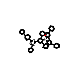 c1ccc(-c2ccc(-c3nc(-c4ccccc4)nc(-c4cc(-c5ccccc5)c(-n5c6ccc(-c7ccccc7)cc6c6cc(-c7ccccc7)ccc65)c(-c5ccccc5)c4)n3)cc2)cc1